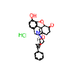 Cl.O=C1CC[C@@]2(OCCCc3ccccc3)[C@H]3Cc4ccc(O)c5c4[C@@]2(CCN3CC2CC2)C1O5